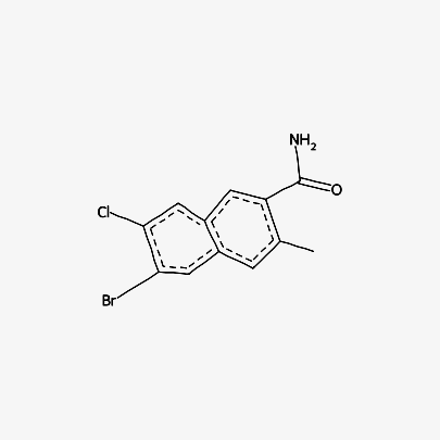 Cc1cc2cc(Br)c(Cl)cc2cc1C(N)=O